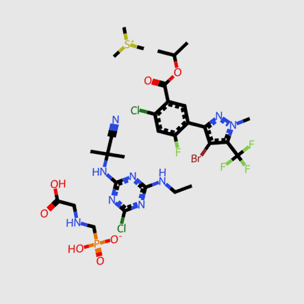 CC(C)OC(=O)c1cc(-c2nn(C)c(C(F)(F)F)c2Br)c(F)cc1Cl.CCNc1nc(Cl)nc(NC(C)(C)C#N)n1.C[S+](C)C.O=C(O)CNCP(=O)([O-])O